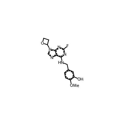 COc1ccc(CNc2nc(F)nc3c2ncn3C2CCO2)cc1O